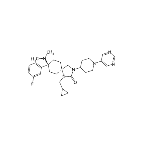 CN(C)[C@]1(c2cccc(F)c2)CC[C@]2(CC1)CN(C1CCN(c3cncnc3)CC1)C(=O)N2CC1CC1